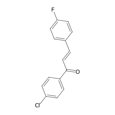 O=C(C=Cc1ccc(F)cc1)c1ccc(Cl)cc1